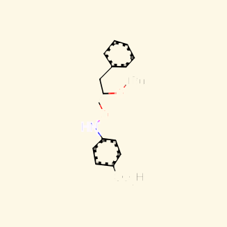 CC(C)(C)O[C@H](CONc1ccc(C(=O)O)cc1)Cc1ccccc1